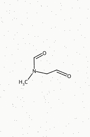 CN(C=O)CC=O